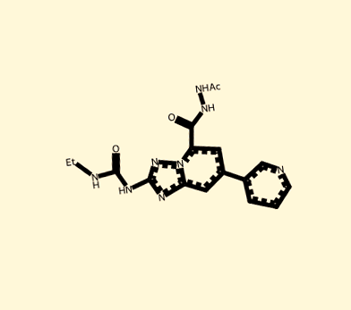 CCNC(=O)Nc1nc2cc(-c3cccnc3)cc(C(=O)NNC(C)=O)n2n1